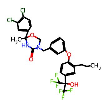 CCCc1cc(C(O)(C(F)(F)F)C(F)(F)F)ccc1Oc1cccc(CN2COC(C)(c3ccc(Cl)c(Cl)c3)NC2=O)c1